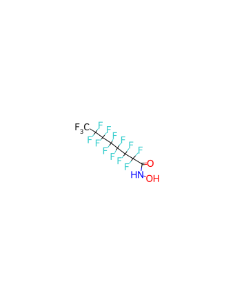 O=C(NO)C(F)(F)C(F)(F)C(F)(F)C(F)(F)C(F)(F)C(F)(F)C(F)(F)F